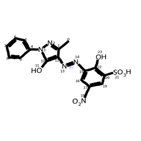 Cc1nn(-c2ccccc2)c(O)c1/N=N/c1cc([N+](=O)[O-])cc(S(=O)(=O)O)c1O